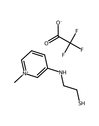 C[n+]1cccc(NCCS)c1.O=C([O-])C(F)(F)F